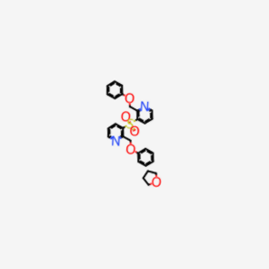 C1CCOC1.O=S(=O)(c1cccnc1COc1ccccc1)c1cccnc1COc1ccccc1